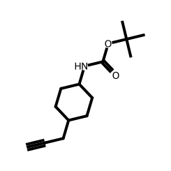 C#CCC1CCC(NC(=O)OC(C)(C)C)CC1